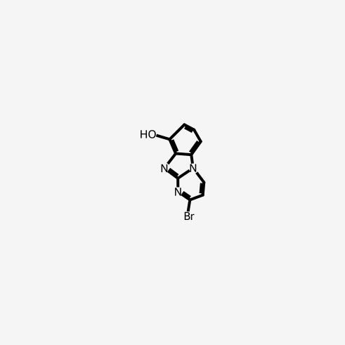 Oc1cccc2c1nc1nc(Br)ccn12